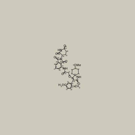 COC1CCC2(CC1)NC(=O)C(c1cc(C)ccc1C)=C2OCC(=O)Nc1cccc2c1C(=O)N(C1CCC(=O)NC1=O)C2=O